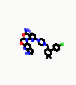 CC1(C)CCC(CN2CCN(c3ccc(C(N)=O)c(N4CCOc5nc6[nH]ccc6cc54)n3)CC2)=C(c2ccc(Cl)cc2)C1